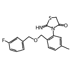 Cc1ccc(COCc2cccc(F)c2)c(N2C(=N)SCC2=O)c1